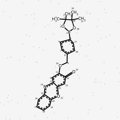 CC1(C)OB(c2ccc(COc3cc4nc5ccccc5oc-4cc3=O)cc2)OC1(C)C